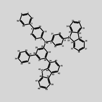 c1ccc(-c2ccc(N(c3ccc(-n4c5ccccc5c5ccccc54)cc3)c3cc(-c4ccccc4)cc(-c4cccc5c4sc4ccccc45)c3)cc2)cc1